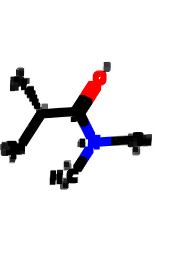 CC(C)[C@H](C(=O)N(C)C(C)(C)C)C(C)(C)C